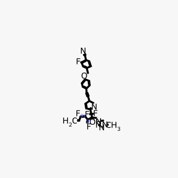 C=C/C(F)=C\C(=C\F)[C@@](O)(CN1CN(C)N=N1)C(F)(F)C1=NCC(C#Cc2ccc(OCc3ccc(C#N)c(F)c3)cc2)C=C1